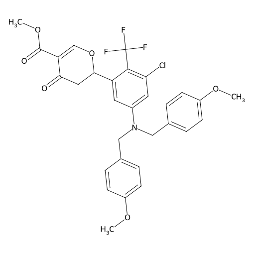 COC(=O)C1=COC(c2cc(N(Cc3ccc(OC)cc3)Cc3ccc(OC)cc3)cc(Cl)c2C(F)(F)F)CC1=O